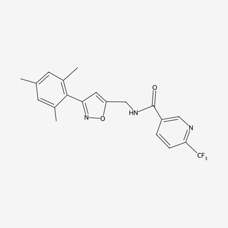 Cc1cc(C)c(-c2cc(CNC(=O)c3ccc(C(F)(F)F)nc3)on2)c(C)c1